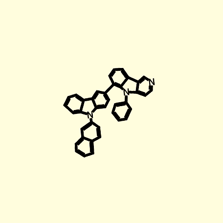 c1ccc(-n2c3ccncc3c3cccc(-c4ccc5c(c4)c4ccccc4n5-c4ccc5ccccc5c4)c32)cc1